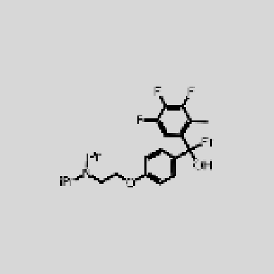 CCC(O)(c1ccc(OCCN(C(C)C)C(C)C)cc1)c1cc(F)c(F)c(F)c1C